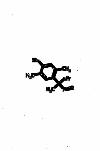 CCCC(C)(P=O)c1cc(C)c(C(C)CC)cc1C